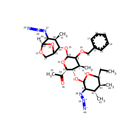 CC[C@@H]1O[C@H](O[C@H]2[C@H](C)C(OCc3ccccc3)[C@H](O[C@@H]3C4CO[C@H](O4)C(N=[N+]=[N-])[C@H]3C)O[C@H]2C(C)=O)C(N=[N+]=[N-])[C@@H](C)[C@@H]1C